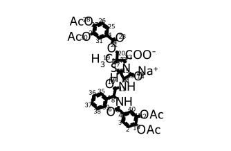 CC(=O)Oc1ccc(C(=O)NC(C(=O)N[C@@H]2C(=O)N3[C@@H]2S[C@@](C)(COC(=O)c2ccc(OC(C)=O)c(OC(C)=O)c2)[C@@H]3C(=O)[O-])c2ccccc2)cc1OC(C)=O.[Na+]